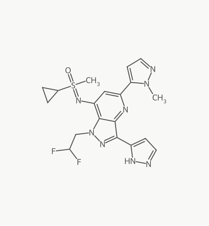 Cn1nccc1-c1cc(N=S(C)(=O)C2CC2)c2c(n1)c(-c1ccn[nH]1)nn2CC(F)F